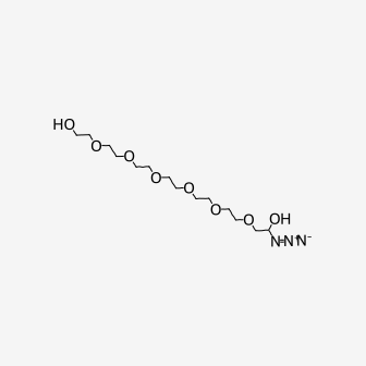 [N-]=[N+]=NC(O)COCCOCCOCCOCCOCCOCCO